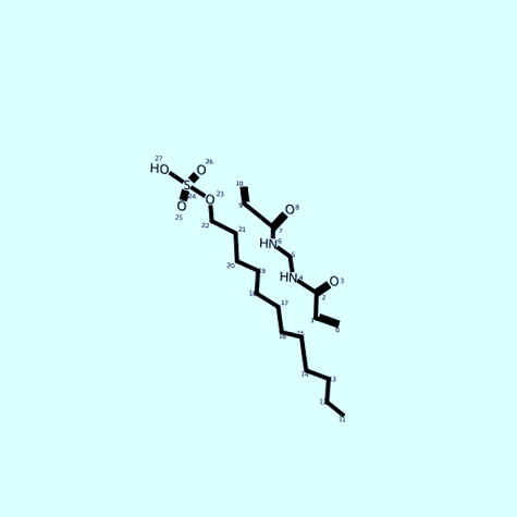 C=CC(=O)NCNC(=O)C=C.CCCCCCCCCCCCOS(=O)(=O)O